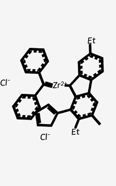 CCc1ccc2c(c1)[CH]([Zr+2]=[C](c1ccccc1)c1ccccc1)c1c-2cc(C)c(CC)c1C1=CC=CC1.[Cl-].[Cl-]